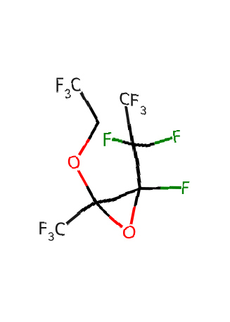 FC(F)(F)COC1(C(F)(F)F)OC1(F)C(F)(F)C(F)(F)F